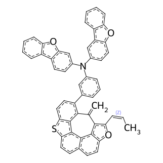 C=C1c2c(/C=C\C)oc3ccc4ccc5sc6ccc(-c7cccc(N(c8ccc9c(c8)oc8ccccc89)c8ccc9oc%10ccccc%10c9c8)c7)c1c6c5c4c23